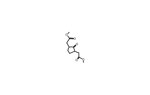 COC(=O)CC1CCC(CC(=O)OC)C1=O